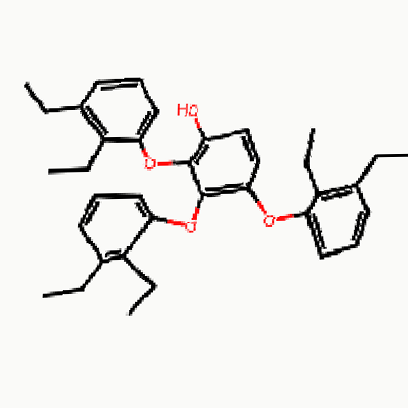 CCc1cccc(Oc2ccc(O)c(Oc3cccc(CC)c3CC)c2Oc2cccc(CC)c2CC)c1CC